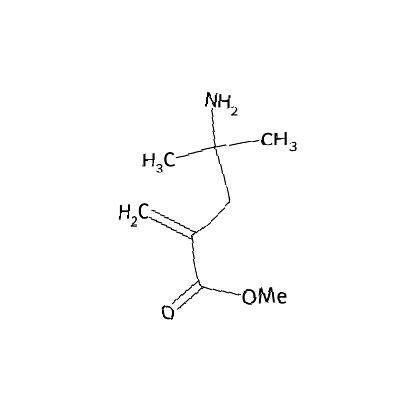 C=C(CC(C)(C)N)C(=O)OC